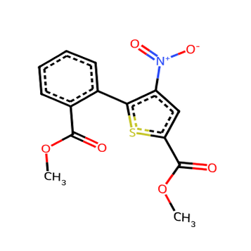 COC(=O)c1cc([N+](=O)[O-])c(-c2ccccc2C(=O)OC)s1